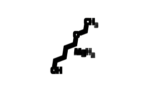 CCOCCCCO.[MgH2]